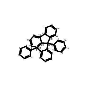 c1ccc(Cc2ccccc2C2(c3ccccc3)c3ccccc3-c3ccccc32)cc1